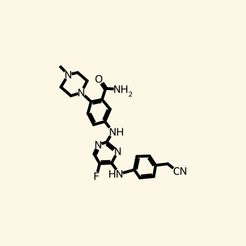 CN1CCN(c2ccc(Nc3ncc(F)c(Nc4ccc(CC#N)cc4)n3)cc2C(N)=O)CC1